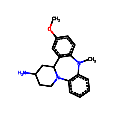 COc1ccc2c(c1)C1CC(N)CCN1c1ccccc1N2C